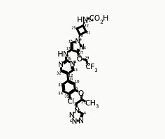 CC(Cn1cnnn1)Oc1cc(-c2cnc(Nc3cn([C@H]4C[C@H](NC(=O)O)C4)nc3OCC(F)(F)F)nc2)ccc1Cl